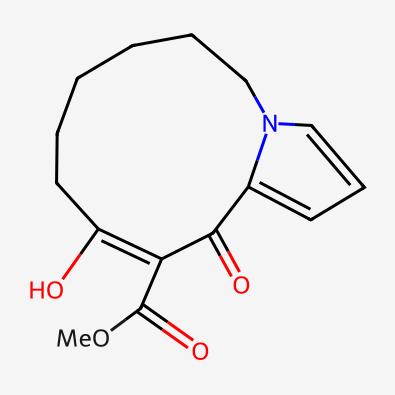 COC(=O)/C1=C(\O)CCCCCCn2cccc2C1=O